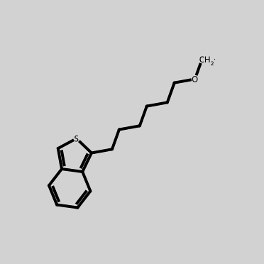 [CH2]OCCCCCCc1scc2ccccc12